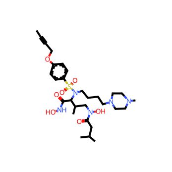 CC#CCOc1ccc(S(=O)(=O)N(CCCCN2CCN(C)CC2)C(C(=O)NO)C(C)CN(O)C(=O)CC(C)C)cc1